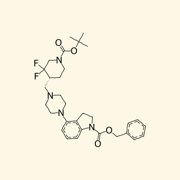 CC(C)(C)OC(=O)N1CC[C@H](CN2CCN(c3cccc4c3CCN4C(=O)OCc3ccccc3)CC2)C(F)(F)C1